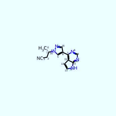 C[C@@H](CC#N)n1cc(-c2ncnc3[nH]ccc23)cn1